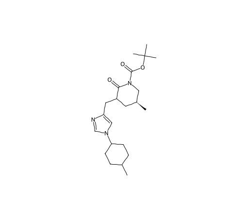 CC1CCC(n2cnc(CC3C[C@H](C)CN(C(=O)OC(C)(C)C)C3=O)c2)CC1